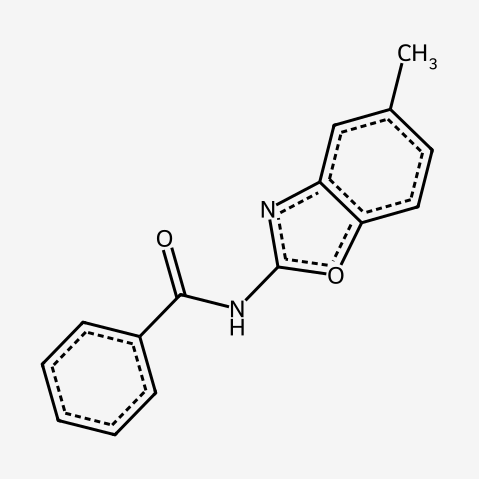 Cc1ccc2oc(NC(=O)c3ccccc3)nc2c1